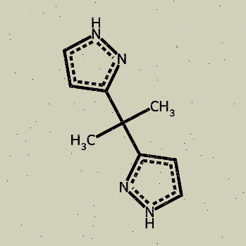 CC(C)(c1cc[nH]n1)c1cc[nH]n1